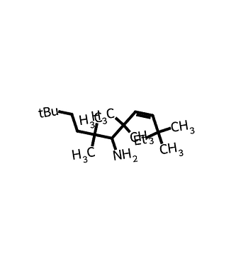 CCC(C)(C)/C=C\C(C)(C)C(N)C(C)(C)CCC(C)(C)C